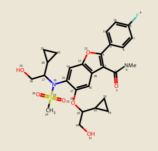 CNC(=O)c1c(-c2ccc(F)cc2)oc2cc(N(C(CO)C3CC3)S(C)(=O)=O)c(OC(CO)C3CC3)cc12